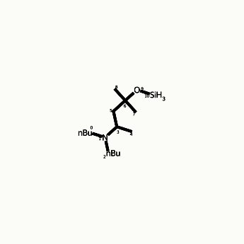 CCCCN(CCCC)C(C)CC(C)(C)O[SiH3]